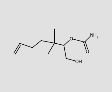 C=CCCC(C)(C)C(CO)OC(N)=O